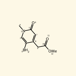 Bc1cn(C)c(=O)cc1CC(=O)OC